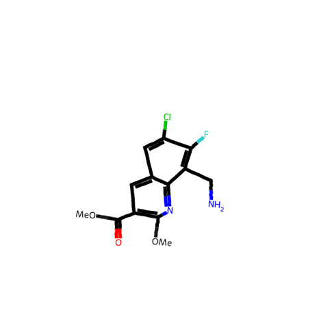 COC(=O)c1cc2cc(Cl)c(F)c(CN)c2nc1OC